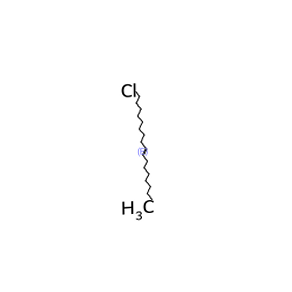 CCCCCCCC/C=C/CCCCCCCCCl